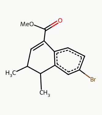 COC(=O)C1=CC(C)C(C)c2cc(Br)ccc21